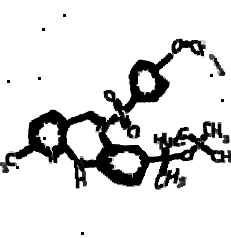 [C-]#[N+]C(C)(O[Si](C)(C)C)c1ccc2c(c1)N(S(=O)(=O)c1ccc(OC(F)(F)F)cc1)Cc1ccc(C(F)(F)F)nc1N2